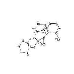 Clc1ccccc1C1OC1(CC1OCCCO1)Cn1cncn1